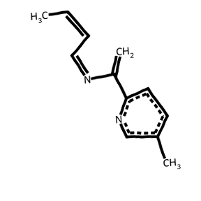 C=C(/N=C\C=C/C)c1ccc(C)cn1